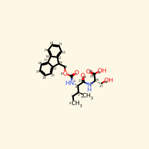 CC[C@H](C)[C@H](NC(=O)OCC1c2ccccc2-c2ccccc21)C(=O)N[C@@H](CO)C(=O)O